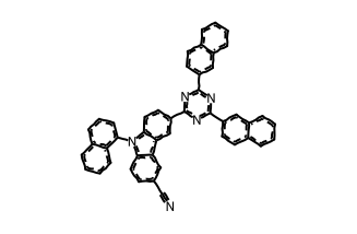 N#Cc1ccc2c(c1)c1cc(-c3nc(-c4ccc5ccccc5c4)nc(-c4ccc5ccccc5c4)n3)ccc1n2-c1cccc2ccccc12